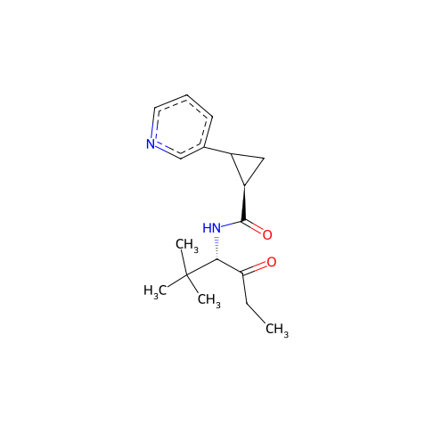 CCC(=O)[C@@H](NC(=O)[C@@H]1CC1c1cccnc1)C(C)(C)C